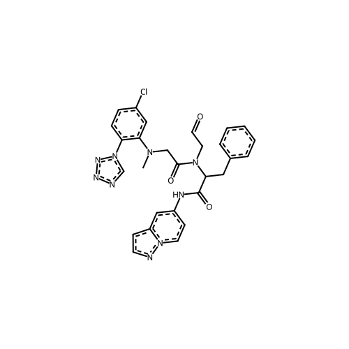 CN(CC(=O)N(CC=O)C(Cc1ccccc1)C(=O)Nc1ccn2nccc2c1)c1cc(Cl)ccc1-n1cnnn1